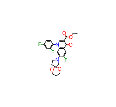 CCOC(=O)c1cn(-c2ccc(F)cc2F)c2cc(N3CCC4(C3)OCCCO4)c(F)cc2c1=O